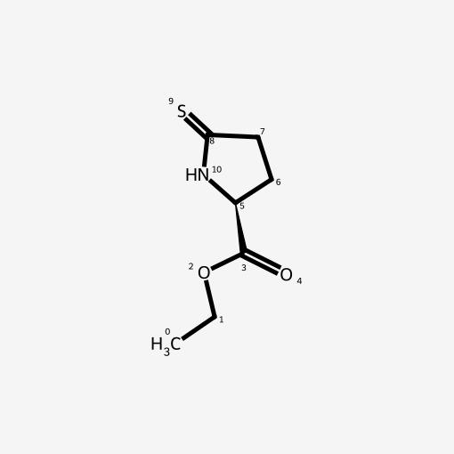 CCOC(=O)[C@@H]1CCC(=S)N1